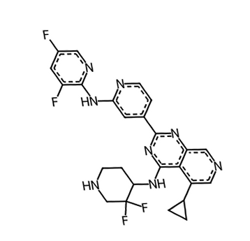 Fc1cnc(Nc2cc(-c3nc(NC4CCNCC4(F)F)c4c(C5CC5)cncc4n3)ccn2)c(F)c1